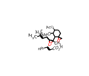 CCCC=CC(=O)O.COC1C(OC(C)=O)CCC2(CO2)C1C1(C)OC1CC=C(C)C